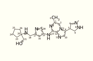 Cc1cn2c(C3C=NNC3)cnc2c(Nc2cc(CNC3(CO)CCCC3)ns2)n1